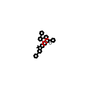 CC1(C)c2cc(-c3ccccc3)ccc2-c2ccc(N(c3ccc4c(c3)oc3ccccc34)c3cccc(-c4ccccc4)c3-c3ccccc3-c3ccccc3)cc21